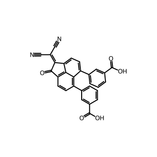 N#CC(C#N)=c1c(=O)c2ccc(-c3cccc(C(=O)O)c3)c3c(-c4cccc(C(=O)O)c4)ccc1c32